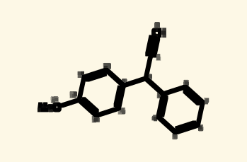 C#CC(c1ccccc1)c1ccc(OC)cc1